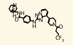 O=C(N[C@H]1CN2CCC1CC2)c1ccc(Nc2nc3c(C4=CCN(C(=O)CCC(F)(F)F)CC4)cccn3n2)cc1